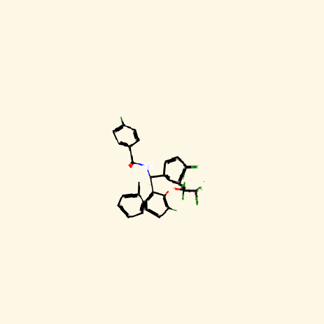 COc1cc([C@](Cc2ccccc2)(NC(=O)c2ccc(F)cc2)c2cccc(F)c2OC(F)(F)C(F)F)ccc1F